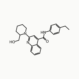 CCc1ccc(NC(=O)c2cc(N3CCCCC3CO)nc3ccccc23)cc1